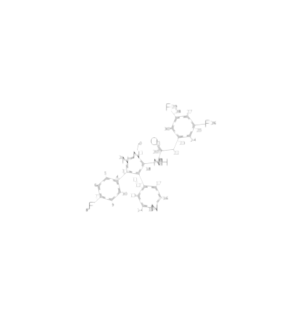 Cn1nc(-c2ccc(F)cc2)c(-c2ccncc2)c1NC(=O)Cc1cc(F)cc(F)c1